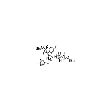 Cc1ncc(Oc2nc(N3C[C@@H]4[C@H](C3)[C@H]4NC(=O)OC(C)(C)C)c3c(n2)[nH]c2c(N(C)C(=O)OC(C)(C)C)cc(F)cc23)cn1